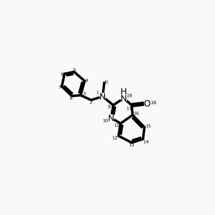 CN(Cc1ccccc1)c1nc2ccccc2c(=O)[nH]1